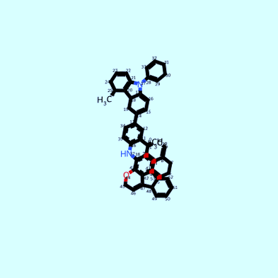 C=C(/C=C1/C=CCC/C1=C/C)c1cc(C2=CC=C3C(C2)C2=C(C=CCC2C)N3C2=CCCC=C2)ccc1Nc1ccc2c3c1OCC=C3C1C=CC=CC21